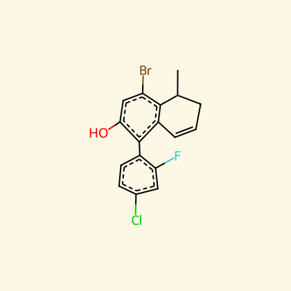 CC1CC=Cc2c(-c3ccc(Cl)cc3F)c(O)cc(Br)c21